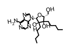 CCCCC[C@@]1(O)[C@@H](CO)O[C@@H](n2cnc3c(N)ncnc32)[C@@]1(O)CCCCC